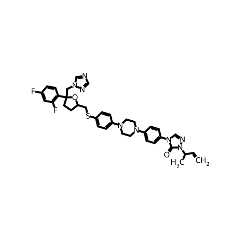 C=CC(C)n1ncn(-c2ccc(N3CCN(c4ccc(SCC5CCC(Cn6cncn6)(c6ccc(F)cc6F)O5)cc4)CC3)cc2)c1=O